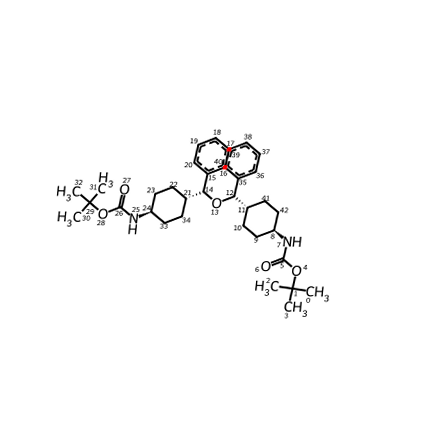 CC(C)(C)OC(=O)N[C@H]1CC[C@H](C(OC(c2ccccc2)[C@H]2CC[C@H](NC(=O)OC(C)(C)C)CC2)c2ccccc2)CC1